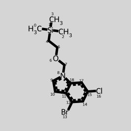 C[Si](C)(C)CCOCn1ccc2c(Br)cc(Cl)cc21